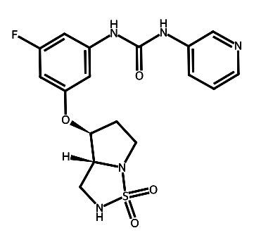 O=C(Nc1cccnc1)Nc1cc(F)cc(O[C@H]2CCN3[C@@H]2CNS3(=O)=O)c1